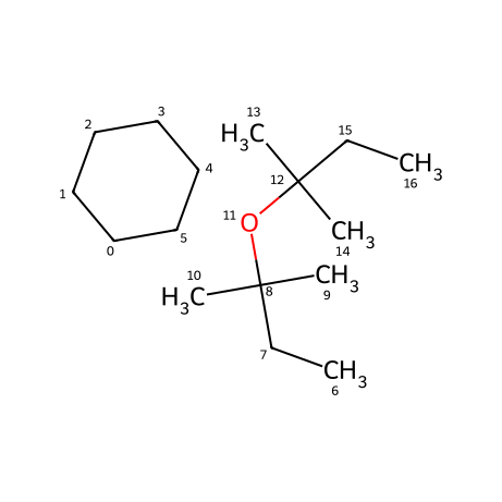 C1CCCCC1.CCC(C)(C)OC(C)(C)CC